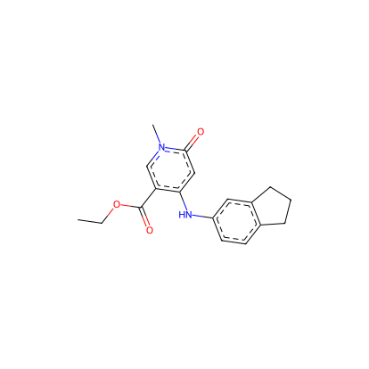 CCOC(=O)c1cn(C)c(=O)cc1Nc1ccc2c(c1)CCC2